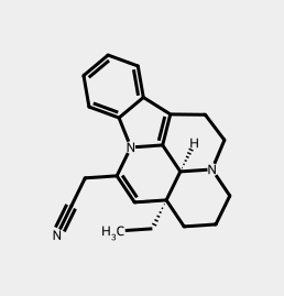 CC[C@@]12C=C(CC#N)n3c4c(c5ccccc53)CCN(CCC1)[C@H]42